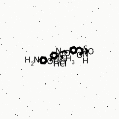 Cl.Cl.Cn1c(COc2ccc(CC3SC(=O)NC3=O)cc2)nc2ccc(Oc3ccc(N)cc3)cc21